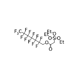 CCO[Si](CC(=O)OCC(F)(F)C(F)(F)C(F)(F)C(F)(F)C(F)(F)C(F)(F)F)(OCC)OCC